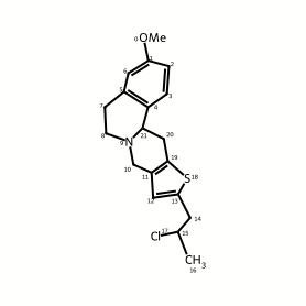 COc1ccc2c(c1)CCN1Cc3cc(CC(C)Cl)sc3CC21